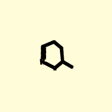 CC1[C]N=CCC1